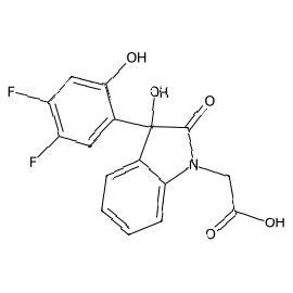 O=C(O)CN1C(=O)C(O)(c2cc(F)c(F)cc2O)c2ccccc21